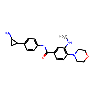 NC1CC1c1ccc(NC(=O)c2ccc(N3CCOCC3)c(NC(=O)O)c2)cc1